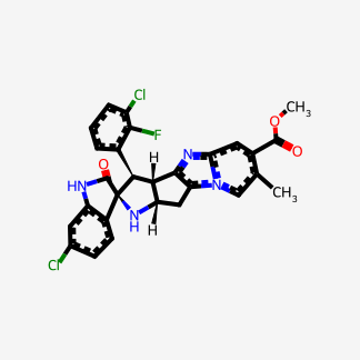 COC(=O)c1cc2nc3c(n2cc1C)C[C@@H]1N[C@@]2(C(=O)Nc4cc(Cl)ccc42)[C@@H](c2cccc(Cl)c2F)[C@H]31